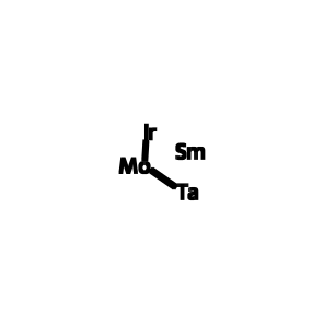 [Sm].[Ta][Mo][Ir]